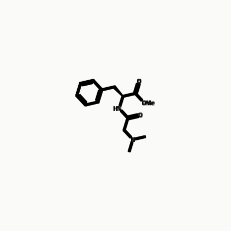 COC(=O)[C@H](Cc1ccccc1)NC(=O)CN(C)C